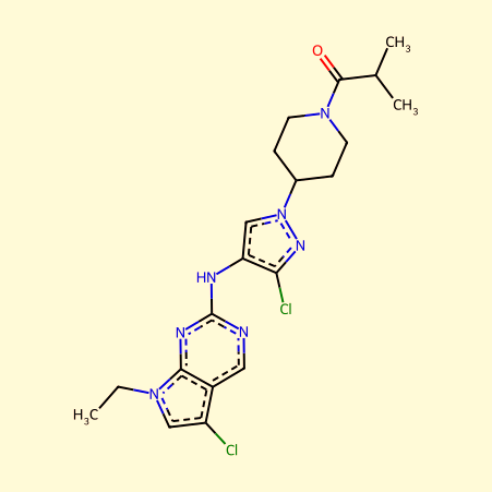 CCn1cc(Cl)c2cnc(Nc3cn(C4CCN(C(=O)C(C)C)CC4)nc3Cl)nc21